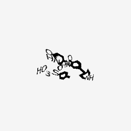 Cc1ccc(S(=O)(=O)O)cc1.O=C1CCC(n2[nH]c3cc(C4CCNCC4)ccc3c2=O)C(=O)N1